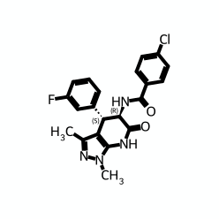 Cc1nn(C)c2c1[C@H](c1cccc(F)c1)[C@@H](NC(=O)c1ccc(Cl)cc1)C(=O)N2